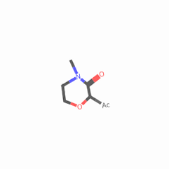 CC(=O)C1OCCN(C)C1=O